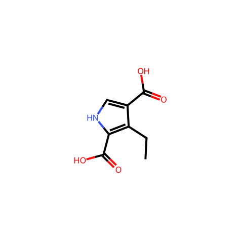 CCc1c(C(=O)O)c[nH]c1C(=O)O